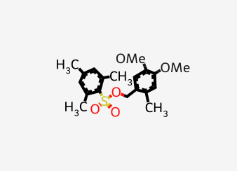 COc1cc(C)c(COS(=O)(=O)c2c(C)cc(C)cc2C)cc1OC